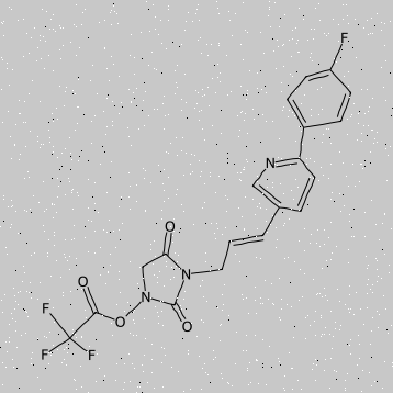 O=C1CN(OC(=O)C(F)(F)F)C(=O)N1CC=Cc1ccc(-c2ccc(F)cc2)nc1